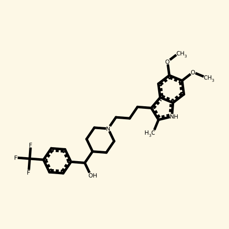 COc1cc2[nH]c(C)c(CCCN3CCC(C(O)c4ccc(C(F)(F)F)cc4)CC3)c2cc1OC